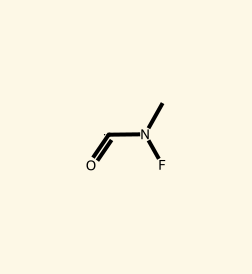 CN(F)[C]=O